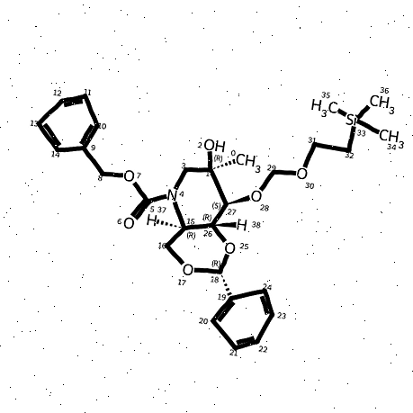 C[C@@]1(O)CN(C(=O)OCc2ccccc2)[C@@H]2CO[C@@H](c3ccccc3)O[C@H]2[C@@H]1OCOCC[Si](C)(C)C